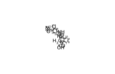 CN(C(=O)CO)c1ccccc1-c1cnc(Nc2ccc(-c3cnco3)c(Cl)c2)o1